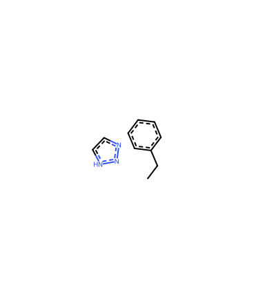 CCc1ccccc1.c1c[nH]nn1